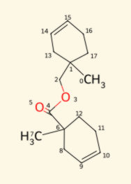 CC1(COC(=O)C2(C)CC=CCC2)CC=CCC1